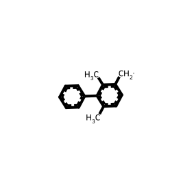 [CH2]c1ccc(C)c(-c2ccccc2)c1C